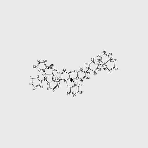 C1=CCC(n2c3cccc(C4=CC(N(c5ccccc5)c5ccc(-c6ccc(-c7cccc8ccccc78)cc6)cc5)CC=C4)c3c3ccc4ccccc4c32)C=C1